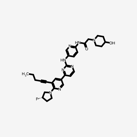 CCCC#Cc1cc(-c2ccnc(Nc3ccc(NC(=O)CN4CCC(O)CC4)nc3)n2)cnc1N1CC[C@H](F)C1